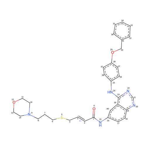 O=C(/C=C/CSCCCN1CCOCC1)Nc1ccc2ncnc(Nc3ccc(OCc4ccccc4)cc3)c2c1